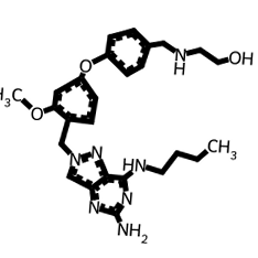 CCCCNc1nc(N)nc2cn(Cc3ccc(Oc4ccc(CNCCO)cc4)cc3OC)nc12